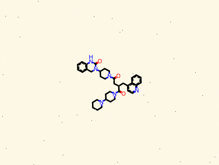 O=C(CC(Cc1ccnc2ccccc12)C(=O)N1CCC(N2CCCCC2)CC1)N1CCC(N2Cc3ccccc3NC2=O)CC1